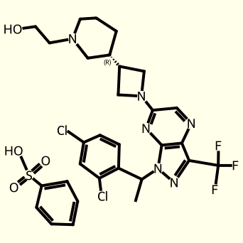 CC(c1ccc(Cl)cc1Cl)n1nc(C(F)(F)F)c2ncc(N3CC([C@H]4CCCN(CCO)C4)C3)nc21.O=S(=O)(O)c1ccccc1